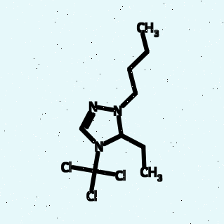 CCCCN1N=CN(C(Cl)(Cl)Cl)C1CC